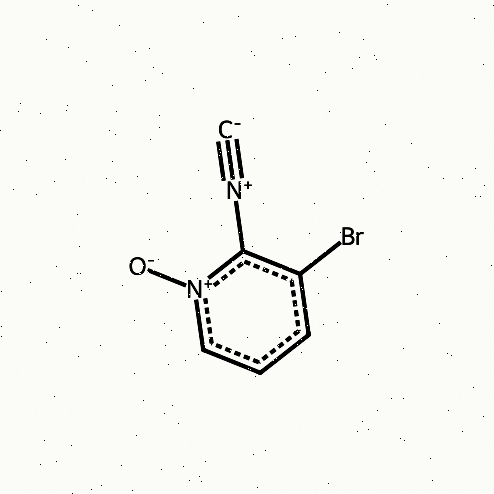 [C-]#[N+]c1c(Br)ccc[n+]1[O-]